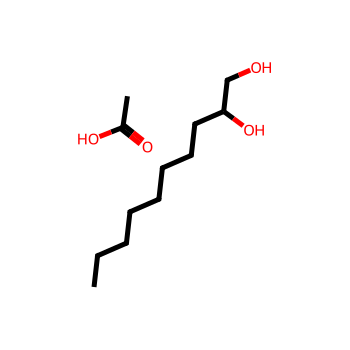 CC(=O)O.CCCCCCCCC(O)CO